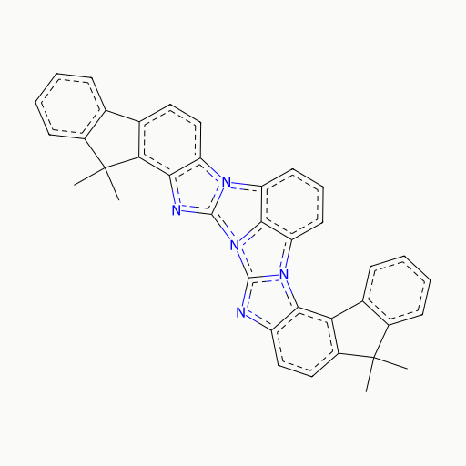 CC1(C)c2ccccc2-c2c1ccc1nc3n(c4cccc5c4n3c3nc4c6c(ccc4n53)-c3ccccc3C6(C)C)c21